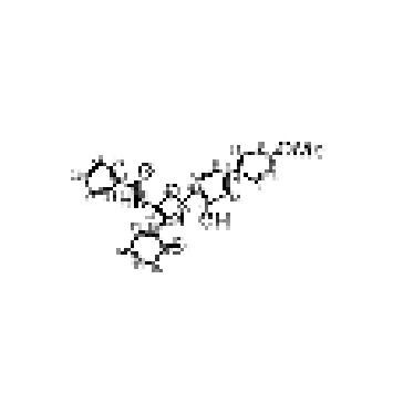 COc1ccc(-c2ccc(-c3nc(C4=CC=CCC4=S)c(NC(=O)c4ccccc4)o3)c(O)c2)cc1